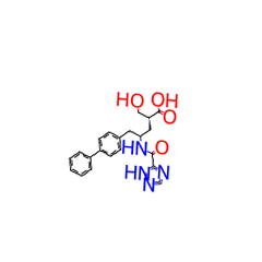 O=C(NC(Cc1ccc(-c2ccccc2)cc1)C[C@@H](CO)C(=O)O)c1ncn[nH]1